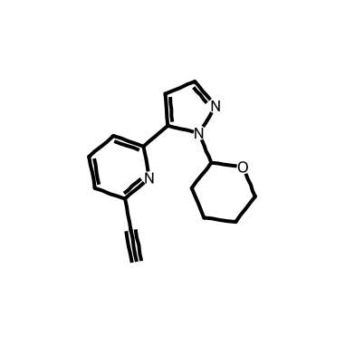 C#Cc1cccc(-c2ccnn2C2CCCCO2)n1